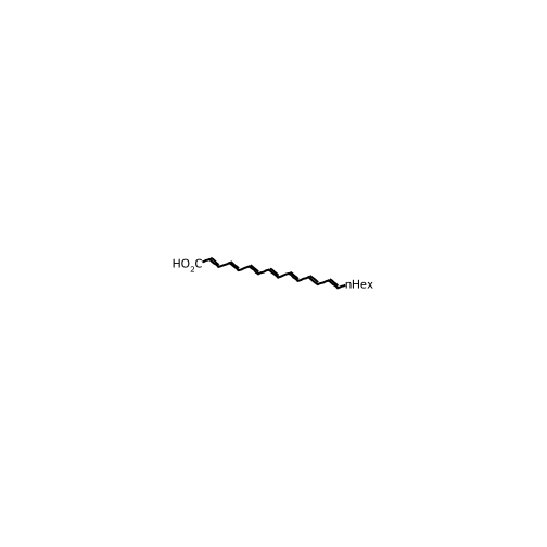 CCCCCCC=CC=CC=CC=CC=CC=CC=CC(=O)O